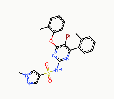 Cc1ccccc1Oc1nc(NS(=O)(=O)c2cnn(C)c2)nc(-c2ccccc2C)c1Br